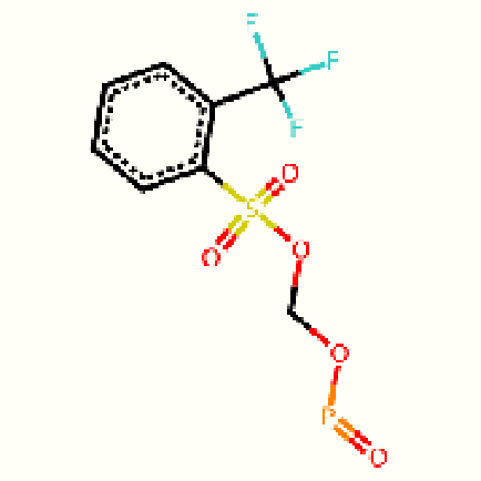 O=POCOS(=O)(=O)c1ccccc1C(F)(F)F